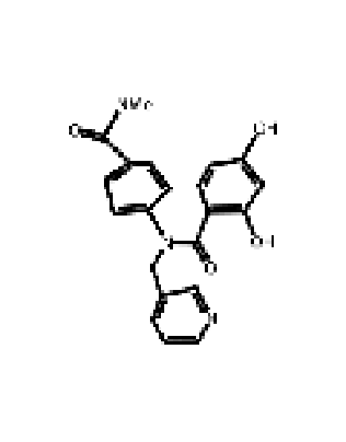 CNC(=O)c1ccc(N(Cc2cccnc2)C(=O)c2ccc(O)cc2O)cc1